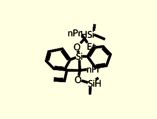 C=CCC(CCC)(O[SiH](C)C)[Si](OC(CC)(CCC)[SiH](C)C)(c1ccccc1)c1ccccc1